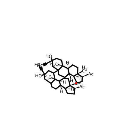 C#CC1(O)CC2CC[C@@H]3[C@H](CC[C@]4(C)[C@@H](C(C)=O)CC[C@@H]34)[C@@]2(C)C(C23CC[C@H]4[C@@H]5CC[C@H](C(C)=O)[C@@]5(C)CC[C@@H]4[C@@]2(C)CCC(O)(C#C)C3)C1